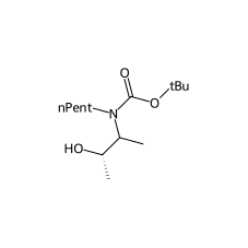 CCCCCN(C(=O)OC(C)(C)C)C(C)[C@H](C)O